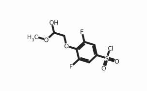 COC(O)COc1c(F)cc(S(=O)(=O)Cl)cc1F